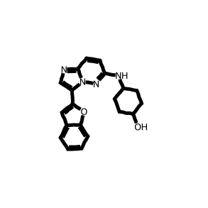 OC1CCC(Nc2ccc3ncc(-c4cc5ccccc5o4)n3n2)CC1